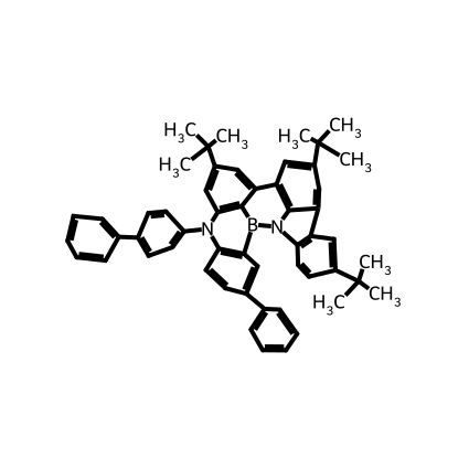 CC(C)(C)c1cc2c3c(c1)N(c1ccc(-c4ccccc4)cc1)c1ccc(-c4ccccc4)cc1B3n1c3ccc(C(C)(C)C)cc3c3cc(C(C)(C)C)cc-2c31